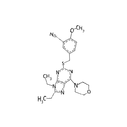 CCc1nc2c(N3CCOCC3)nc(SCc3ccc(OC)c(C#N)c3)nc2n1CC